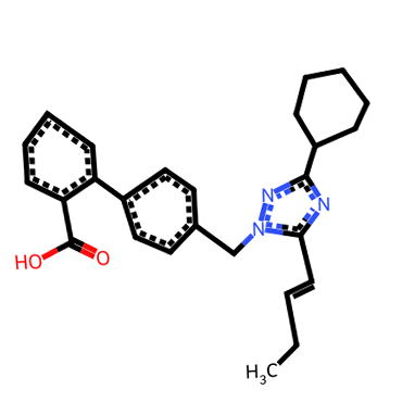 CC/C=C/c1nc(C2CCCCC2)nn1Cc1ccc(-c2ccccc2C(=O)O)cc1